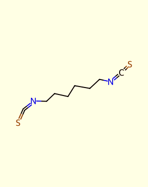 S=C=NCCCCCCN=C=S